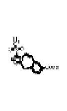 COc1ccc2c(c1)C=Cn1c(nnc1S(C)(=O)=O)C2